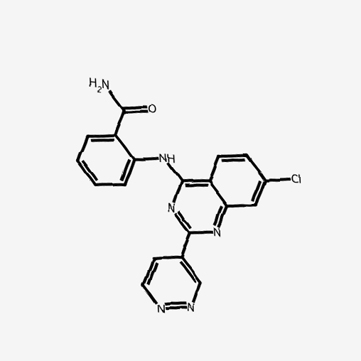 NC(=O)c1ccccc1Nc1nc(-c2ccnnc2)nc2cc(Cl)ccc12